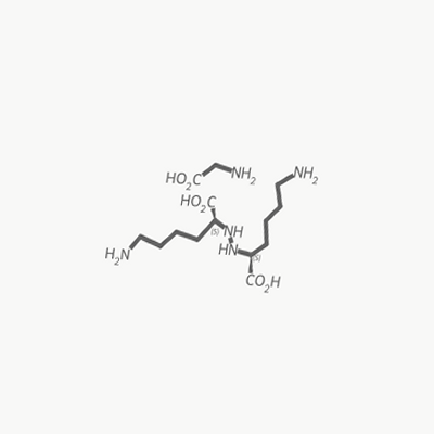 NCC(=O)O.NCCCC[C@H](NN[C@@H](CCCCN)C(=O)O)C(=O)O